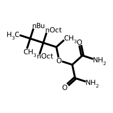 CCCCCCCCC(CCCCCCCC)(C(C)OC(C(N)=O)C(N)=O)C(C)(C)CCCC